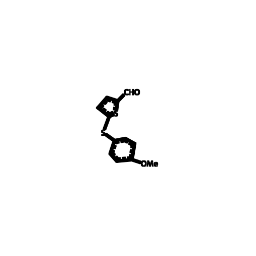 COc1ccc(Sc2ccc(C=O)s2)cc1